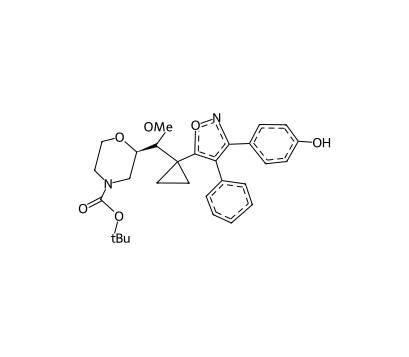 COC([C@H]1CN(C(=O)OC(C)(C)C)CCO1)C1(c2onc(-c3ccc(O)cc3)c2-c2ccccc2)CC1